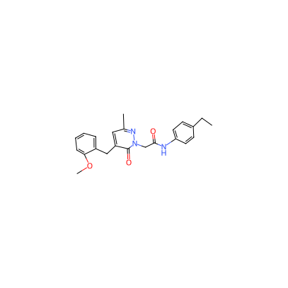 CCc1ccc(NC(=O)Cn2nc(C)cc(Cc3ccccc3OC)c2=O)cc1